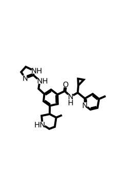 Cc1ccnc(C(NC(=O)c2cc(CNC3=NCCN3)cc(C3CNCCC3C)c2)C2CC2)c1